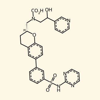 O=C(O)N(CC(O)c1cccnc1)C[C@H]1CCc2cc(-c3cccc(S(=O)(=O)Nc4ncccn4)c3)ccc2O1